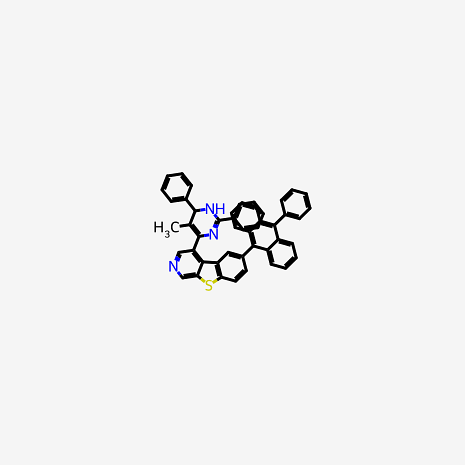 CC1=C(c2cncc3sc4ccc(-c5c6ccccc6c(-c6ccccc6)c6ccccc56)cc4c23)N=C(c2ccccc2)NC1c1ccccc1